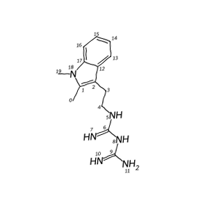 Cc1c(CCNC(=N)NC(=N)N)c2ccccc2n1C